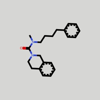 CN(CCCCc1ccccc1)C(=O)N1CCc2ccccc2C1